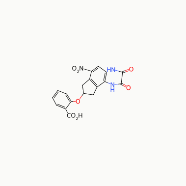 O=C(O)c1ccccc1OC1Cc2c([N+](=O)[O-])cc3[nH]c(=O)c(=O)[nH]c3c2C1